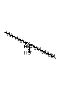 CCCCCCCCCCCCCCCCOCC(COCCCCCCCCCCCCCCCC)NCCCO